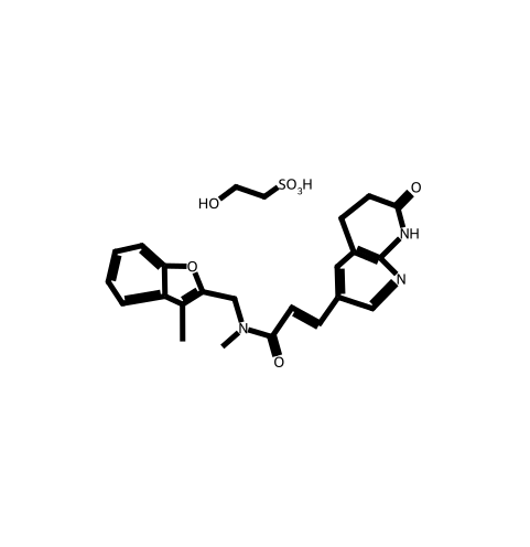 Cc1c(CN(C)C(=O)C=Cc2cnc3c(c2)CCC(=O)N3)oc2ccccc12.O=S(=O)(O)CCO